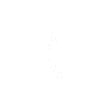 Cc1cc(-c2ccc3c(c2)CCC3N2CC3(CCN(C(=O)Cc4cn5c(C)c(C)sc5n4)CC3)C2)ncn1